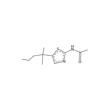 CCCC(C)(C)c1cnc(NC(C)=O)s1